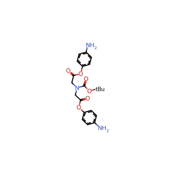 CC(C)(C)OC(=O)N(CC(=O)Oc1ccc(N)cc1)CC(=O)Oc1ccc(N)cc1